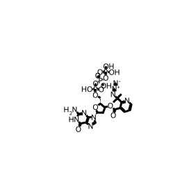 CC(C)(N=[N+]=[N-])c1ncccc1C(=O)OC1C[C@H](n2cnc3c(=O)[nH]c(N)nc32)O[C@@H]1COP(=O)(O)OP(=O)(O)OP(=O)(O)O